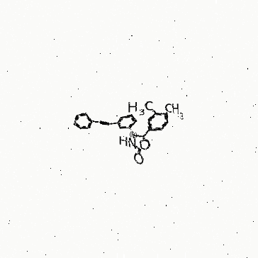 Cc1ccc(C2OC(=O)N[C@@H]2c2cccc(C#Cc3ccccc3)c2)cc1C